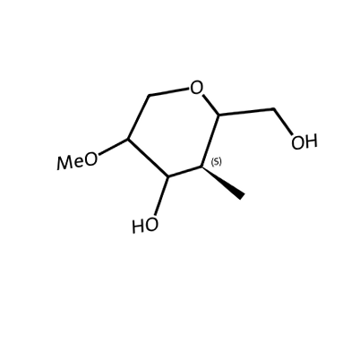 COC1COC(CO)[C@@H](C)C1O